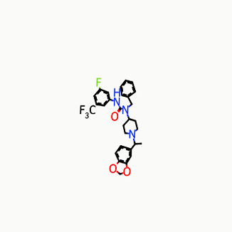 CC(c1ccc2c(c1)OCO2)N1CCC(N(Cc2ccccc2)C(=O)Nc2cc(F)cc(C(F)(F)F)c2)CC1